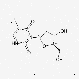 O=c1[nH]cc(F)c(=O)n1[C@H]1CC(O)[C@@H](CO)O1